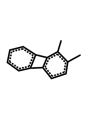 Cc1ccc2c(c1C)-c1ccccc1-2